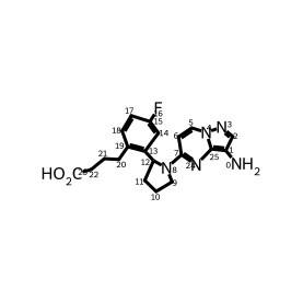 Nc1cnn2ccc(N3CCCC3c3cc(F)ccc3CCCC(=O)O)nc12